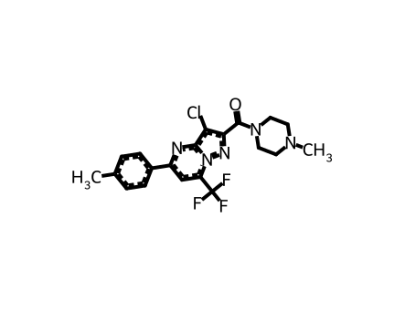 Cc1ccc(-c2cc(C(F)(F)F)n3nc(C(=O)N4CCN(C)CC4)c(Cl)c3n2)cc1